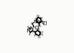 CC(C)(C)CCn1cncc1-c1ccccc1OCc1ccccc1Cl